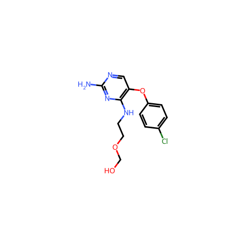 Nc1ncc(Oc2ccc(Cl)cc2)c(NCCOCO)n1